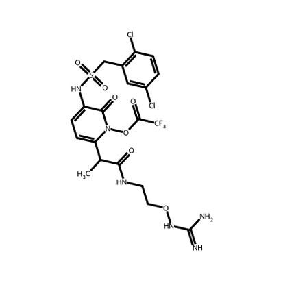 CC(C(=O)NCCONC(=N)N)c1ccc(NS(=O)(=O)Cc2cc(Cl)ccc2Cl)c(=O)n1OC(=O)C(F)(F)F